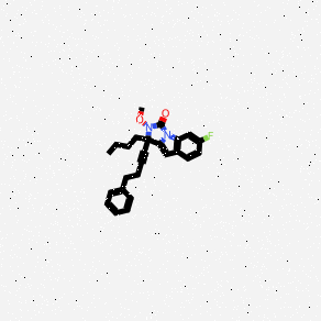 CCCCC1(C#CCCc2ccccc2)c2cc3ccc(F)cc3n2C(=O)N1OC